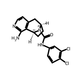 Nc1nccc2c1[C@@H]1CC[C@H](C2)N1C(=O)Nc1ccc(Cl)c(Cl)c1